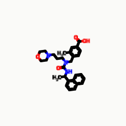 Cc1cc(C(=O)O)ccc1CN(CCCN1CCOCC1)C(=O)NC(C)c1cccc2ccccc12